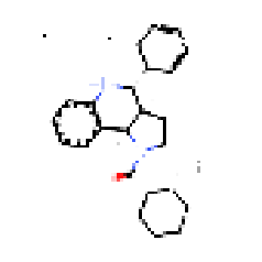 C[C@@H]1CCCC[C@@H]1C(=O)N1CC[C@@H]2[C@H](C3C=CC=CC3)Nc3ccccc3[C@@H]21